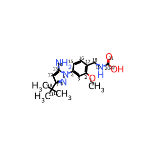 COc1cc(-n2nc(C(C)(C)C)cc2N)ccc1CNC(=O)O